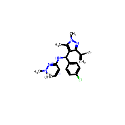 C=C(CCC)c1nn(C)c(C)c1C(NC(/C=C\C=O)=N/N(C)C)c1ccc(Cl)cc1